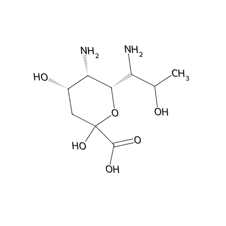 CC(O)C(N)[C@@H]1OC(O)(C(=O)O)C[C@H](O)[C@@H]1N